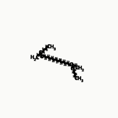 C=CP(OCCCCC)OCCCCCCCCCCCCCCOP(C=C)OCCCCC